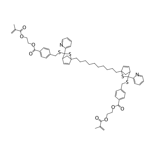 C=C(C)C(=O)OCCOC(=O)c1ccc(CSC2(c3ccccn3)SC3(CCCCCCCCCCC45C=CC(C4)C(SCc4ccc(C(=O)OCCOC(=O)C(=C)C)cc4)(c4ccccn4)S5)C=CC2C3)cc1